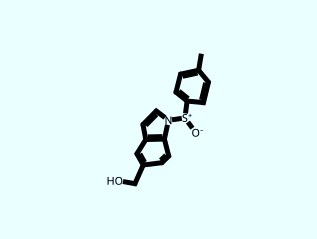 Cc1ccc([S+]([O-])n2ccc3cc(CO)ccc32)cc1